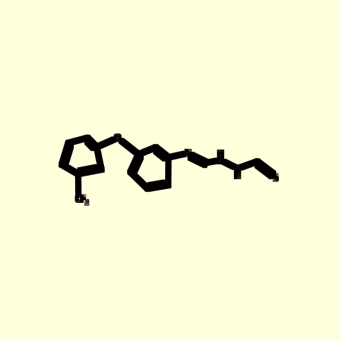 FC(F)(F)c1cccc(Oc2cccc(N=CNNC=S)c2)c1